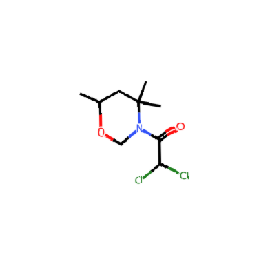 CC1CC(C)(C)N(C(=O)C(Cl)Cl)CO1